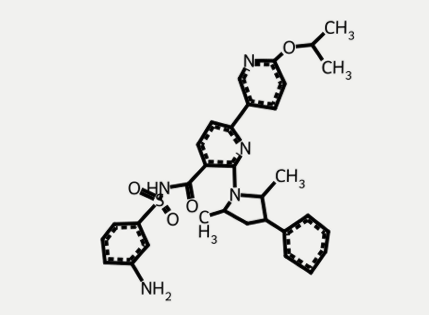 CC(C)Oc1ccc(-c2ccc(C(=O)NS(=O)(=O)c3cccc(N)c3)c(N3C(C)CC(c4ccccc4)C3C)n2)cn1